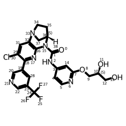 O=C(Nc1ccnc(OC[C@@H](O)CO)c1)N1c2nc(-c3cncc(C(F)(F)F)c3)c(Cl)cc2N2CC[C@H]1C2